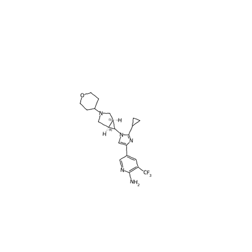 Nc1ncc(-c2cn(C3[C@H]4CN(C5CCOCC5)C[C@@H]34)c(C3CC3)n2)cc1C(F)(F)F